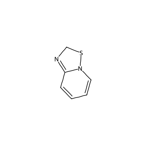 C1=CC2=NCSN2C=C1